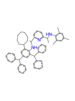 Cc1cc(C)c(NC(C)c2cccc(C(C)Nc3c(C4CCCCCCC4)cc(C(c4ccccc4)c4ccccc4)cc3C(c3ccccc3)c3ccccc3)n2)c(C)c1